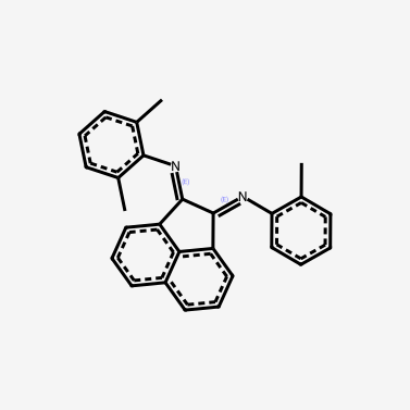 Cc1ccccc1/N=C1/C(=N/c2c(C)cccc2C)c2cccc3cccc1c23